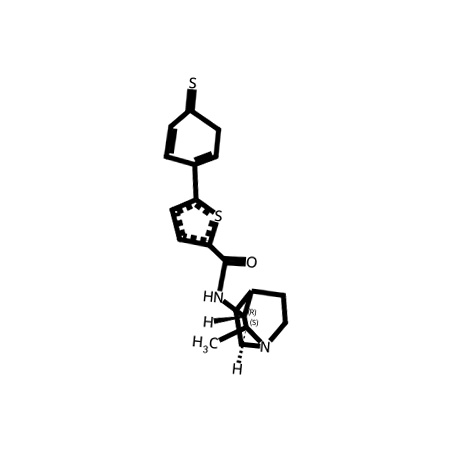 C[C@H]1[C@H](NC(=O)c2ccc(C3=CCC(=S)C=C3)s2)C2CCN1CC2